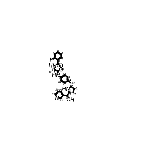 C[C@H](NC(=O)c1ccccc1F)C(=O)Nc1ccc(C[C@@H]2CC[C@H]([C@H](O)c3cccnc3)N2)cc1